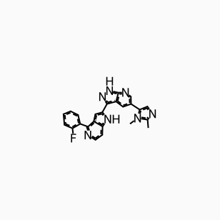 Cc1ncc(-c2cnc3[nH]nc(-c4cc5c(-c6ccccc6F)nccc5[nH]4)c3c2)n1C